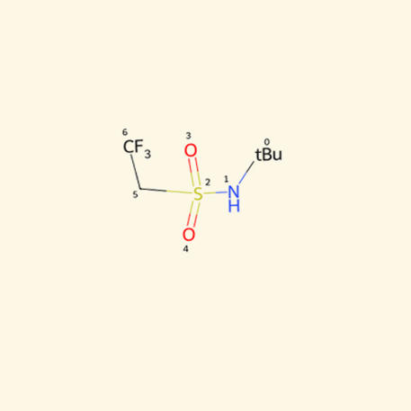 CC(C)(C)NS(=O)(=O)CC(F)(F)F